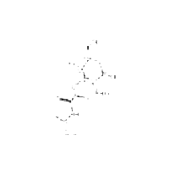 CC(=O)N[C@@H]1[C@@H](OC(C)C(=O)N[C@@H](C)[C]=O)[C@H](O)[C@@H](CO)O[C@@H]1O